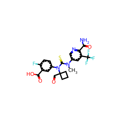 CN(C(=S)N(c1ccc(F)c(C(=O)O)c1)C1(C=O)CCC1)c1cnc(C(N)=O)c(C(F)(F)F)c1